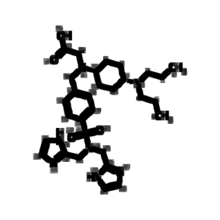 CCCN(CCC)[C@H]1CC[C@H](N(CC(=O)O)Cc2ccc(S(=O)(=O)N(Cc3ncc[nH]3)Cc3ncc[nH]3)cc2)CC1